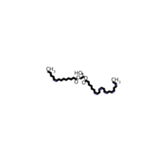 CC/C=C\C/C=C\C/C=C\C/C=C\C/C=C\CCCCCC(=O)O[C@@H](CO)COC(=O)CCCCCCC/C=C\CCCCC